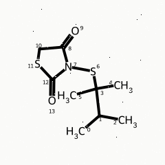 CC(C)C(C)(C)SN1C(=O)CSC1=O